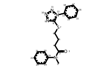 CN(C(=O)CCCSc1nnnn1-c1ccccc1)c1ccccc1